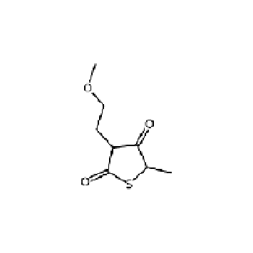 COCCC1C(=O)SC(C)C1=O